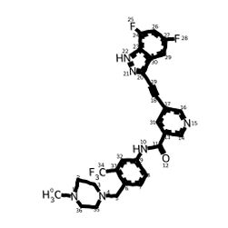 CN1CCN(Cc2ccc(NC(=O)c3cncc(C#Cc4n[nH]c5c(F)cc(F)cc45)c3)cc2C(F)(F)F)CC1